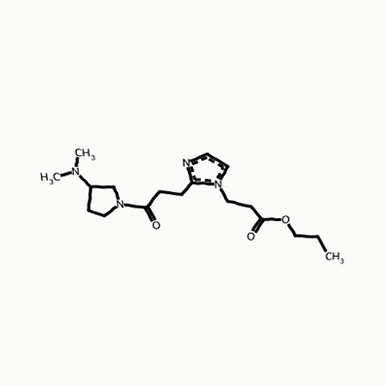 CCCOC(=O)CCn1ccnc1CCC(=O)N1CCC(N(C)C)C1